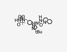 CC(C)(C)c1cc(NC(=O)Nc2ccc3ccccc3n2)n(-c2ccc(CN3C(C)(C)C(=O)NS3(=O)=O)cc2)n1